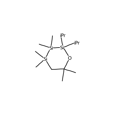 CC(C)[Si]1(C(C)C)OC(C)(C)C[Si](C)(C)[Si]1(C)C